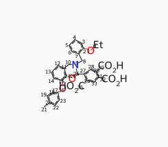 CCOc1ccccc1CN(Cc1cccc(Oc2ccc(C)cc2)c1)C(=O)c1cc(C(=O)O)c(C(=O)O)cc1C(=O)O